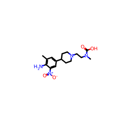 Cc1cc(C2CCN(CCN(C)C(=O)O)CC2)cc([N+](=O)[O-])c1N